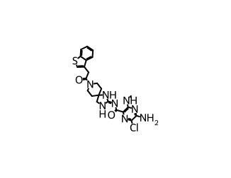 CNc1nc(N)c(Cl)nc1C(=O)/N=C1\NCC2(CCN(C(=O)Cc3csc4ccccc34)CC2)N1